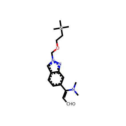 CN(C)C(=CC=O)c1ccc2cn(COCC[Si](C)(C)C)nc2c1